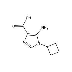 Nc1c(C(=O)O)ncn1C1CCC1